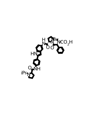 CC(C)N1CCCC1C(=O)Nc1ccc(-c2cc3cc(NC(=O)[C@@H]4CCCN4C(=O)[C@@H](c4ccccc4)N(C(=O)O)C(C)(C)C)ccc3[nH]2)cc1